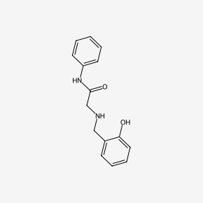 O=C(CNCc1ccccc1O)Nc1ccccc1